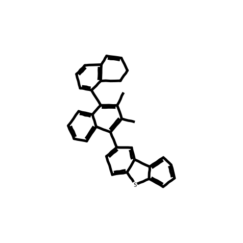 Cc1c(C)c(-c2cccc3c2CCC=C3)c2ccccc2c1-c1ccc2sc3ccccc3c2c1